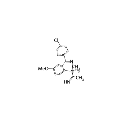 C/N=C(/c1ccc(Cl)cc1)c1cc(OC)ccc1N(C)C(C)=N